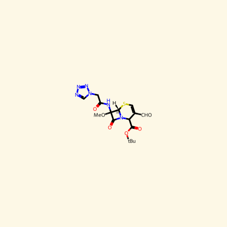 COC1(NC(=O)Cn2cnnn2)C(=O)N2C(C(=O)OC(C)(C)C)C(C=O)=CS[C@H]21